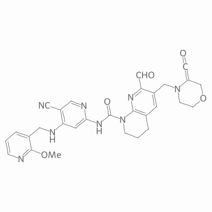 COc1ncccc1CNc1cc(NC(=O)N2CCCc3cc(CN4CCOCC4=C=O)c(C=O)nc32)ncc1C#N